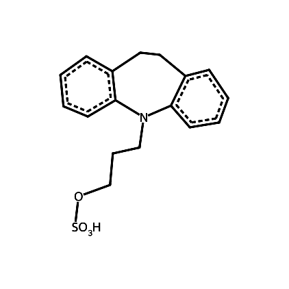 O=S(=O)(O)OCCCN1c2ccccc2CCc2ccccc21